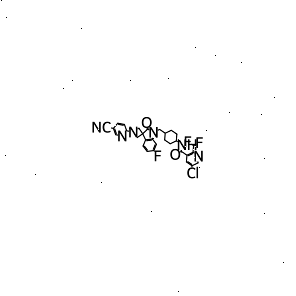 N#Cc1ccc(N2CC3(C2)C(=O)N(CC2CCC(NC(=O)c4cc(Cl)cnc4C(F)F)CC2)c2cc(F)ccc23)nc1